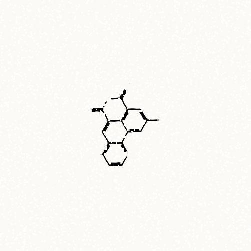 Nc1cc2c3c(cc4cccnc4c3c1)C(=O)OC2=O